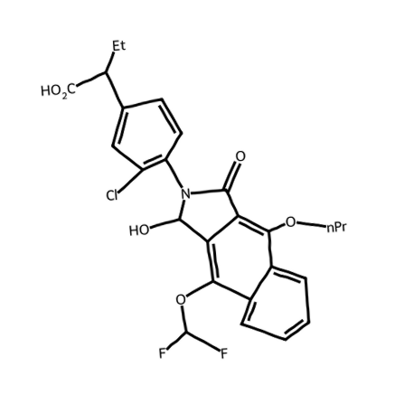 CCCOc1c2c(c(OC(F)F)c3ccccc13)C(O)N(c1ccc(C(CC)C(=O)O)cc1Cl)C2=O